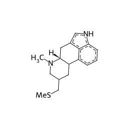 CSCC1CC2c3cccc4[nH]cc(c34)C[C@H]2N(C)C1